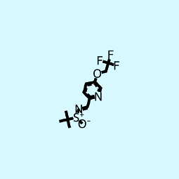 CC(C)(C)[S+]([O-])N=Cc1ccc(OCC(F)(F)F)cn1